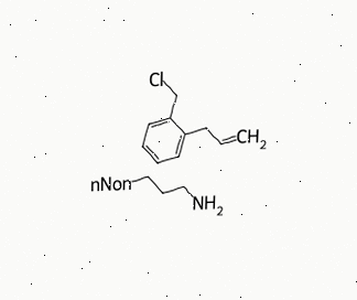 C=CCc1ccccc1CCl.CCCCCCCCCCCCN